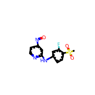 CS(=O)(=O)c1ccc(Nc2cc(N=O)ccn2)cc1F